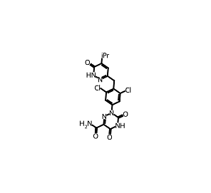 CC(C)c1cc(Cc2c(Cl)cc(-n3nc(C(N)=O)c(=O)[nH]c3=O)cc2Cl)n[nH]c1=O